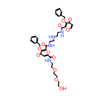 O=C(NCCOCCOCCO)c1cc(=O)c(OCc2ccccc2)c(C(=O)NCCNCCNC(=O)c2occc(=O)c2OCc2ccccc2)o1